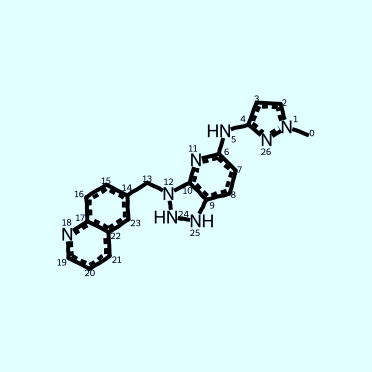 Cn1ccc(Nc2ccc3c(n2)N(Cc2ccc4ncccc4c2)NN3)n1